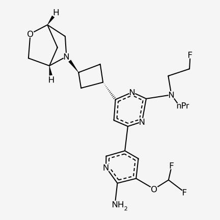 CCCN(CCF)c1nc(-c2cnc(N)c(OC(F)F)c2)cc([C@H]2C[C@H](N3C[C@@H]4C[C@H]3CO4)C2)n1